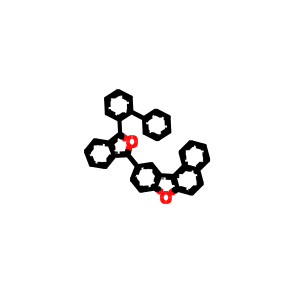 c1ccc(-c2ccccc2-c2oc(-c3ccc4oc5ccc6ccccc6c5c4c3)c3ccccc23)cc1